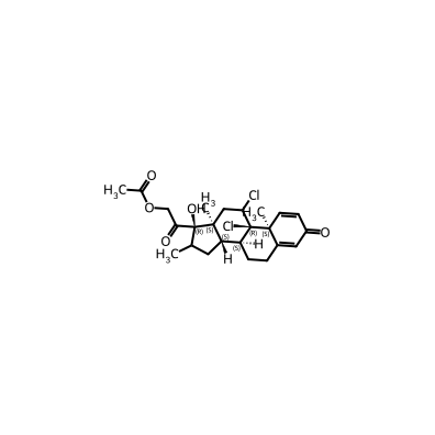 CC(=O)OCC(=O)[C@@]1(O)C(C)C[C@H]2[C@@H]3CCC4=CC(=O)C=C[C@]4(C)[C@@]3(Cl)C(Cl)C[C@@]21C